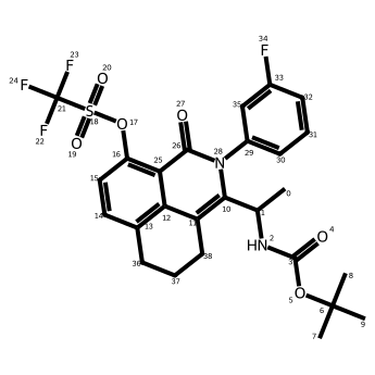 CC(NC(=O)OC(C)(C)C)c1c2c3c(ccc(OS(=O)(=O)C(F)(F)F)c3c(=O)n1-c1cccc(F)c1)CCC2